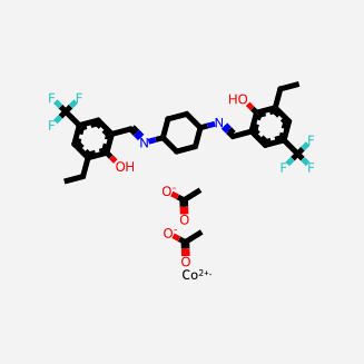 CC(=O)[O-].CC(=O)[O-].CCc1cc(C(F)(F)F)cc(C=NC2CCC(N=Cc3cc(C(F)(F)F)cc(CC)c3O)CC2)c1O.[Co+2]